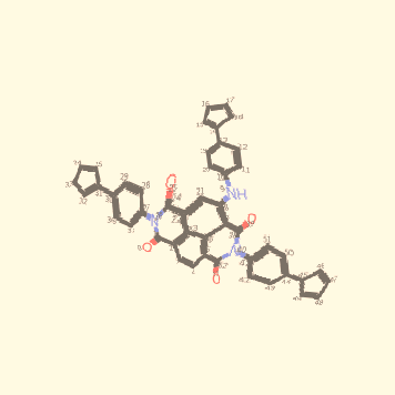 O=C1c2ccc3c4c(c(Nc5ccc(C6=CC=CC6)cc5)cc(c24)C(=O)N1c1ccc(C2=CCC=C2)cc1)C(=O)N(c1ccc(C2C=CC=C2)cc1)C3=O